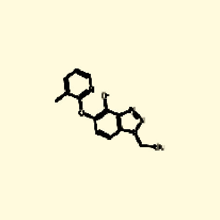 Cc1cccnc1Oc1ccc2c(nnn2CC(C)(C)C)c1Br